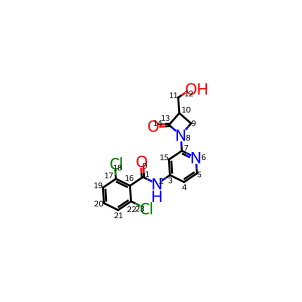 O=C(Nc1ccnc(N2CC(CO)C2=O)c1)c1c(Cl)cccc1Cl